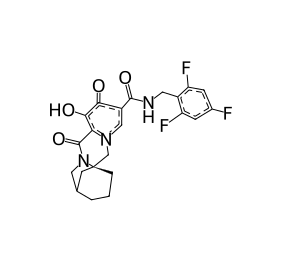 O=C(NCc1c(F)cc(F)cc1F)c1cn2c(c(O)c1=O)C(=O)N1CC3CCC[C@]1(C3)C2